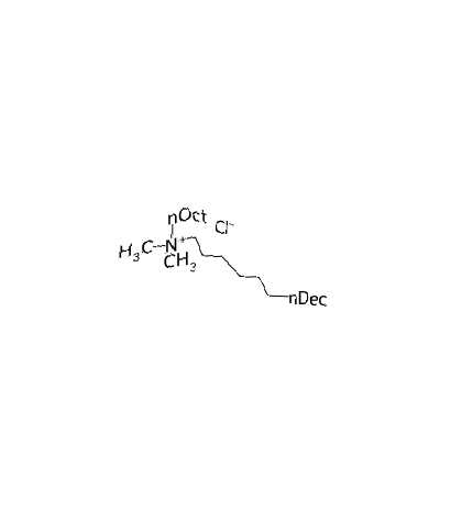 CCCCCCCCCCCCCCCC[N+](C)(C)CCCCCCCC.[Cl-]